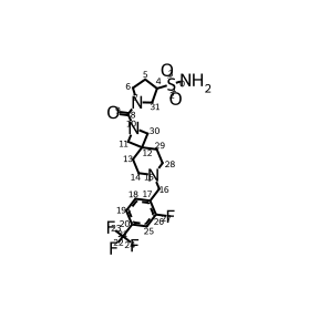 NS(=O)(=O)C1CCN(C(=O)N2CC3(CCN(Cc4ccc(C(F)(F)F)cc4F)CC3)C2)C1